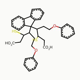 O=C(O)CC(S)C(CCOc1ccccc1)C1(C(CCOc2ccccc2)C(S)CC(=O)O)c2ccccc2-c2ccccc21